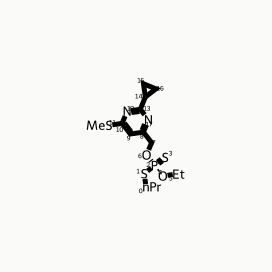 CCCS[P@@](=S)(OCC)OCc1cc(SC)nc(C2CC2)n1